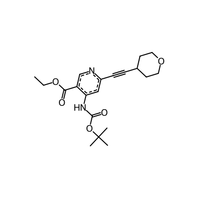 CCOC(=O)c1cnc(C#CC2CCOCC2)cc1NC(=O)OC(C)(C)C